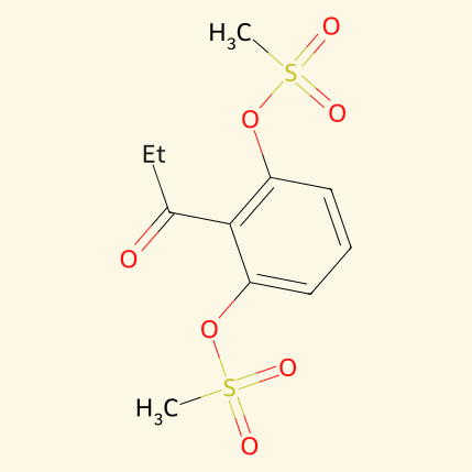 CCC(=O)c1c(OS(C)(=O)=O)cccc1OS(C)(=O)=O